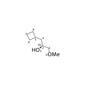 COC[C@@H](O)CC1CCC1